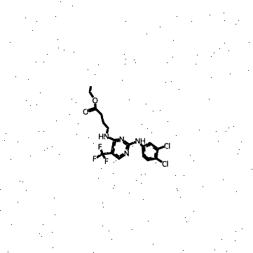 CCOC(=O)CCCNc1nc(Nc2ccc(Cl)c(Cl)c2)ncc1C(F)(F)F